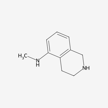 CNc1cccc2c1CCNC2